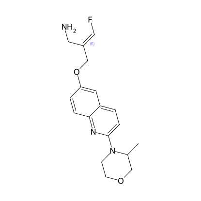 CC1COCCN1c1ccc2cc(OC/C(=C/F)CN)ccc2n1